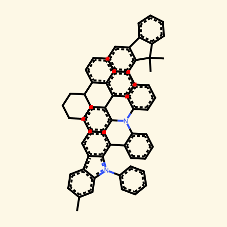 Cc1ccc2c3cccc(-c4ccccc4N(c4cccc(-c5cccc6c5C(C)(C)c5ccccc5-6)c4)c4ccccc4-c4cccc5cccc(C6CCCCC6)c45)c3n(-c3ccccc3)c2c1